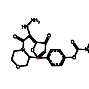 CN(C)C(=O)Oc1ccc(CO/C2=C(/NN)C(=O)N3CCOCC3/C=C\C2=O)cc1